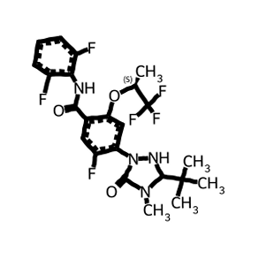 C[C@H](Oc1cc(N2NC(C(C)(C)C)N(C)C2=O)c(F)cc1C(=O)Nc1c(F)cccc1F)C(F)(F)F